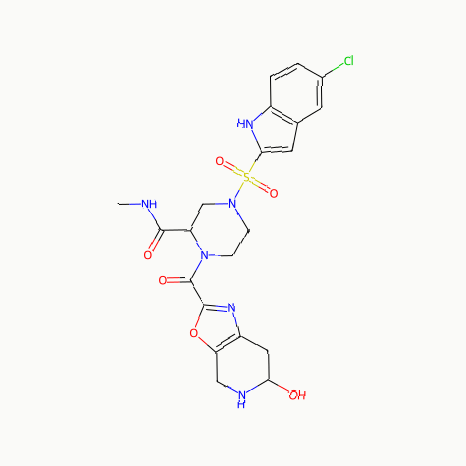 CNC(=O)C1CN(S(=O)(=O)c2cc3cc(Cl)ccc3[nH]2)CCN1C(=O)c1nc2c(o1)CNC(O)C2